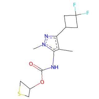 Cc1c(C2CC(F)(F)C2)nn(C)c1NC(=O)OC1CSC1